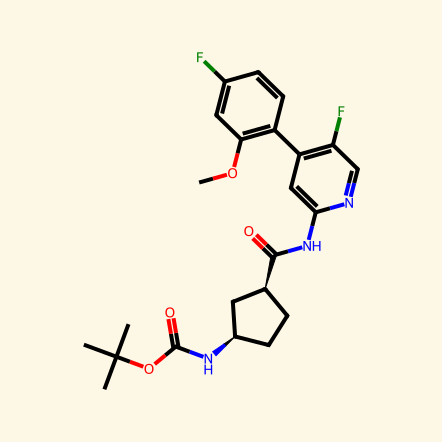 COc1cc(F)ccc1-c1cc(NC(=O)[C@H]2CC[C@@H](NC(=O)OC(C)(C)C)C2)ncc1F